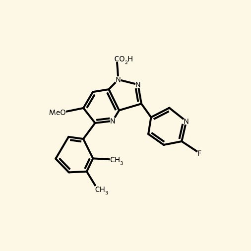 COc1cc2c(nc1-c1cccc(C)c1C)c(-c1ccc(F)nc1)nn2C(=O)O